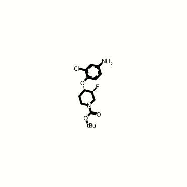 CC(C)(C)OC(=O)N1CC[C@H](Oc2ccc(N)cc2Cl)[C@@H](F)C1